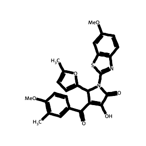 COc1ccc2nc(N3C(=O)C(O)=C(C(=O)c4ccc(OC)c(C)c4)C3c3ccc(C)o3)sc2c1